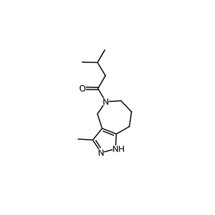 Cc1n[nH]c2c1CN(C(=O)CC(C)C)CCC2